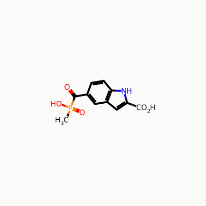 CP(=O)(O)C(=O)c1ccc2[nH]c(C(=O)O)cc2c1